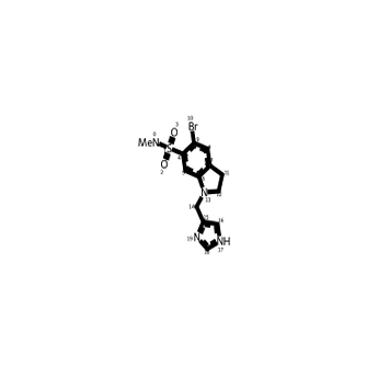 CNS(=O)(=O)c1cc2c(cc1Br)CCN2Cc1c[nH]cn1